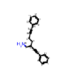 NCC(C#Cc1ccccc1)CCC#Cc1ccccc1